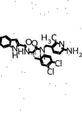 Cc1nc(N)ccc1CNC(=O)[C@H](Cc1ccc(Cl)c(Cl)c1)NC(=O)c1cc2ccccc2[nH]1